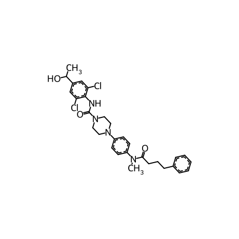 CC(O)c1cc(Cl)c(NC(=O)N2CCN(c3ccc(N(C)C(=O)CCCc4ccccc4)cc3)CC2)c(Cl)c1